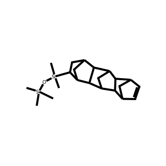 C[Si](C)(C)O[Si](C)(C)C1CC2CC1C1C3CC(C4C5C=CC(C5)C34)C21